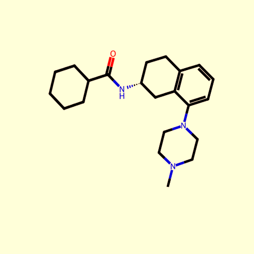 CN1CCN(c2cccc3c2C[C@H](NC(=O)C2CCCCC2)CC3)CC1